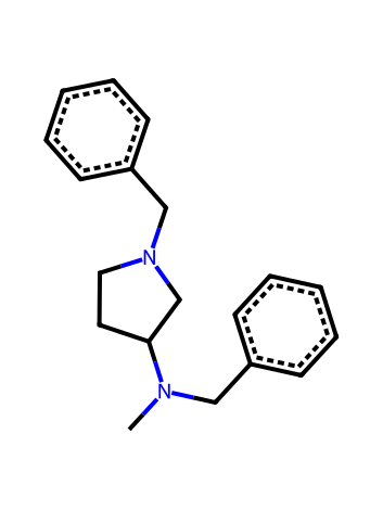 CN(Cc1ccccc1)C1CCN(Cc2ccccc2)C1